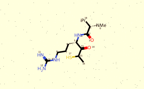 CN[C@H](C(=O)N[C@@H](CCCNC(=N)N)C(=O)C(C)S)C(C)C